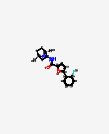 O=C(N[C@@H]1C[C@H]2CC[C@@H]1N2)c1ccc(-c2ccccc2F)o1